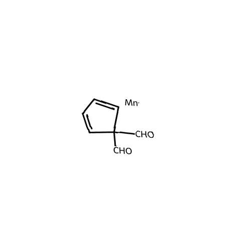 O=CC1(C=O)C=CC=C1.[Mn]